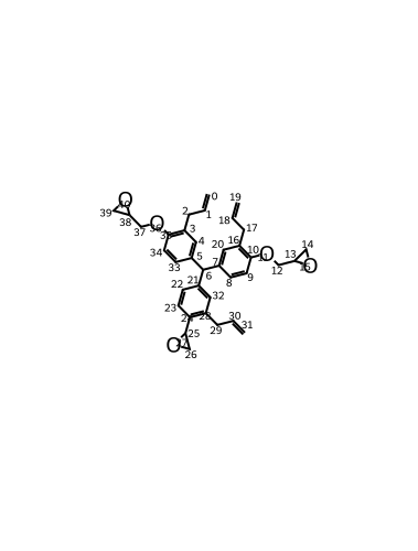 C=CCc1cc(C(c2ccc(OCC3CO3)c(CC=C)c2)c2ccc(C3CO3)c(CC=C)c2)ccc1OCC1CO1